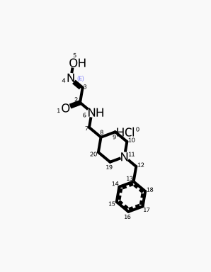 Cl.O=C(/C=N/O)NCC1CCN(Cc2ccccc2)CC1